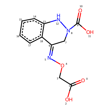 O=C(O)CON=C1CN(C(=O)O)Nc2ccccc21